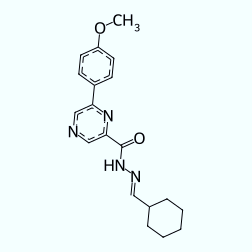 COc1ccc(-c2cncc(C(=O)N/N=C/C3CCCCC3)n2)cc1